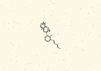 C/C=C/C=C/c1cccc(-c2cn3ccnc3cn2)c1C